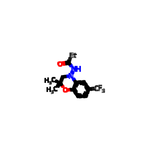 CCC(=O)NN1CC(C)(C)Oc2ccc(C(F)(F)F)cc21